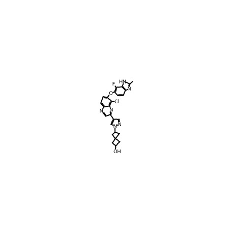 Cc1nc2ccc(Oc3ccc4ncc(-c5cnn(C6CC7(CC(O)C7)C6)c5)nc4c3Cl)c(F)c2[nH]1